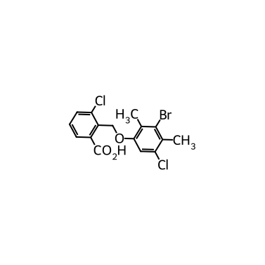 Cc1c(Cl)cc(OCc2c(Cl)cccc2C(=O)O)c(C)c1Br